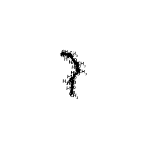 COC(=O)CCNC(=O)CCNC(=O)c1nc(NC(=O)CCNC(=O)c2cc(NC(=O)c3nc(NC(=O)CCNC(=O)c4cc(NC(=O)c5nccn5C)cn4C)cn3C)cn2C)cn1C